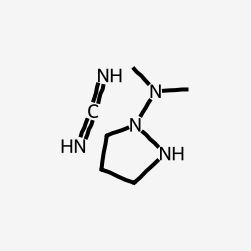 CN(C)N1CCCN1.N=C=N